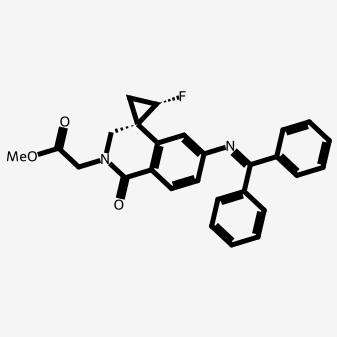 COC(=O)CN1C[C@@]2(C[C@@H]2F)c2cc(N=C(c3ccccc3)c3ccccc3)ccc2C1=O